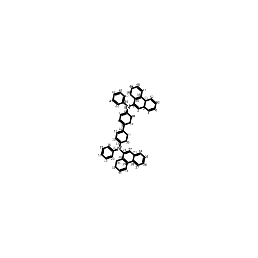 C1=CC2C=C(N(C3=CC=C(C4=CC=C(N(c5ccccc5)c5cc6ccccc6c6c5CCC=C6)CC4)CC3)c3ccccc3)C3=C(C=CCC3)C2C=C1